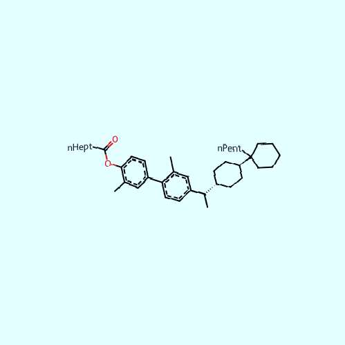 CCCCCCCC(=O)Oc1ccc(-c2ccc(C(C)[C@H]3CC[C@H](C4(CCCCC)CCCCC4)CC3)cc2C)cc1C